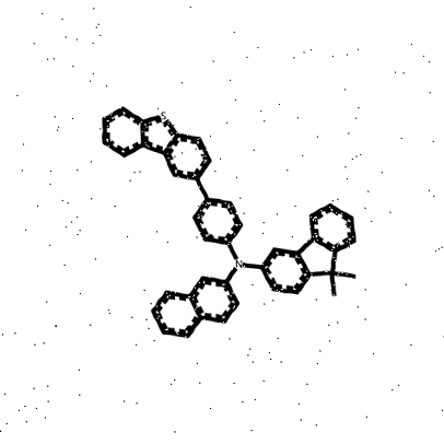 CC1(C)c2ccccc2-c2cc(N(c3ccc(-c4ccc5sc6ccccc6c5c4)cc3)c3ccc4ccccc4c3)ccc21